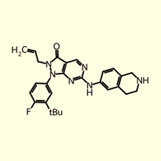 C=CCn1c(=O)c2cnc(Nc3ccc4c(c3)CCNC4)nc2n1-c1ccc(F)c(C(C)(C)C)c1